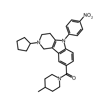 CC1CCN(C(=O)c2ccc3c(c2)c2c(n3-c3ccc([N+](=O)[O-])cc3)CCN(C3CCCC3)C2)CC1